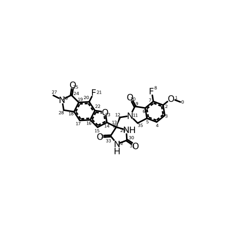 COc1ccc2c(c1F)C(=O)N(C[C@@]1(c3cc4cc5c(c(F)c4o3)C(=O)N(C)C5)NC(=O)NC1=O)C2